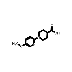 COc1ccc(N2CCC(C(=O)O)CC2)nc1